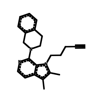 C#CCCCn1c(C)c(C)c2ccnc(N3CCc4ccccc4C3)c21